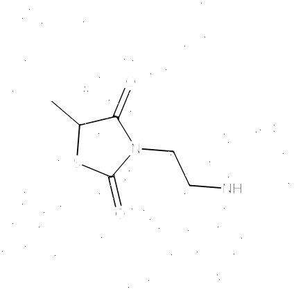 CC1SC(=O)N(CC[NH])C1=O